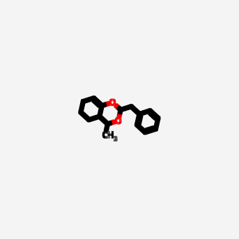 CC1OC(Cc2ccccc2)OC2=CCCCC21